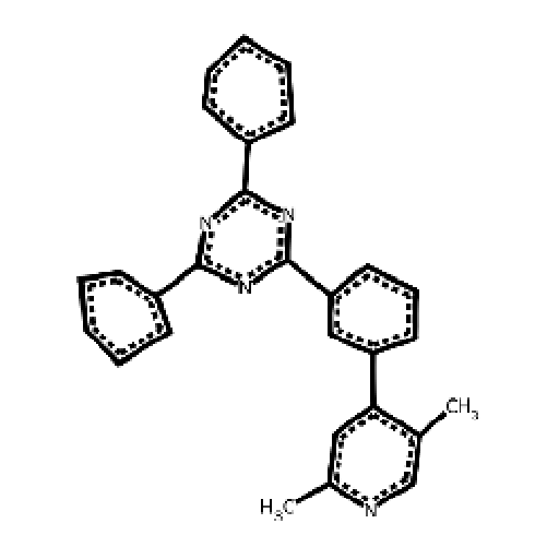 Cc1cc(-c2cccc(-c3nc(-c4ccccc4)nc(-c4ccccc4)n3)c2)c(C)cn1